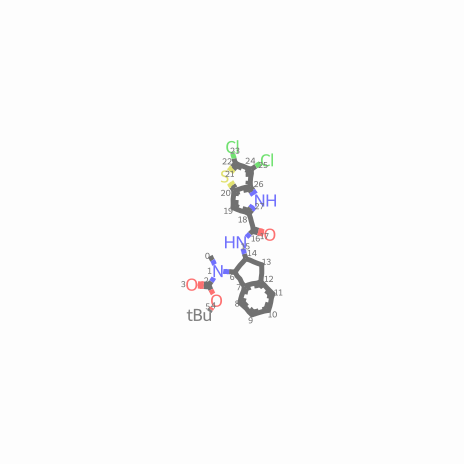 CN(C(=O)OC(C)(C)C)C1c2ccccc2CC1NC(=O)c1cc2sc(Cl)c(Cl)c2[nH]1